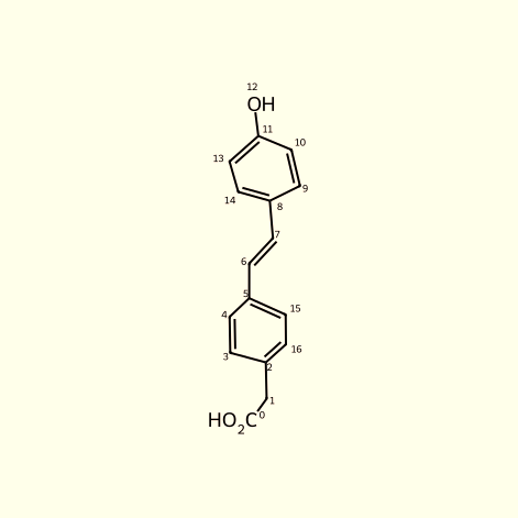 O=C(O)Cc1ccc(/C=C/c2ccc(O)cc2)cc1